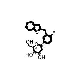 OC[C@H]1O[C@@H](c2ccc(F)c(Cc3cc4ccccc4s3)c2)C[C@@H](O)[C@@H]1O